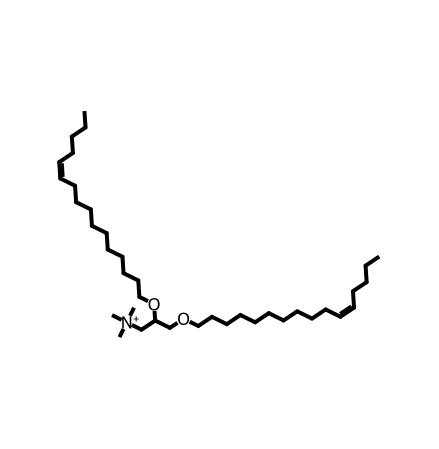 CCCC/C=C\CCCCCCCCCCOCC(C[N+](C)(C)C)OCCCCCCCCCC/C=C\CCCC